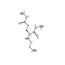 CC(C)(C)CCN[C@@H](CCC(=O)OC(C)(C)C)C(=O)OC(C)(C)C